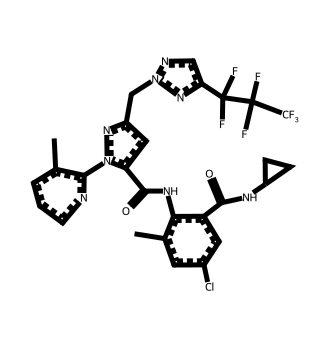 Cc1cccnc1-n1nc(Cn2ncc(C(F)(F)C(F)(F)C(F)(F)F)n2)cc1C(=O)Nc1c(C)cc(Cl)cc1C(=O)NC1CC1